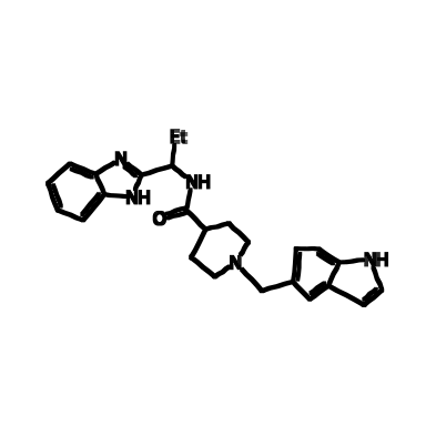 CCC(NC(=O)C1CCN(Cc2ccc3[nH]ccc3c2)CC1)c1nc2ccccc2[nH]1